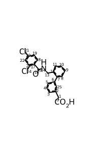 O=C(O)Cc1cccc(-c2ccccc2CNC(=O)c2ccc(Cl)cc2Cl)c1